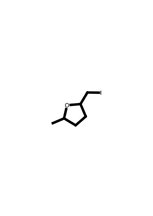 CC1CCC(CI)O1